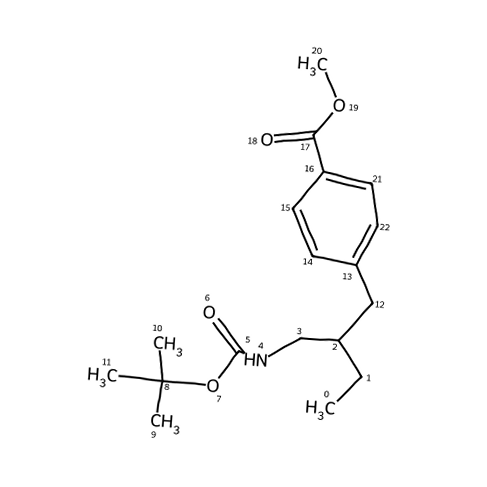 CCC(CNC(=O)OC(C)(C)C)Cc1ccc(C(=O)OC)cc1